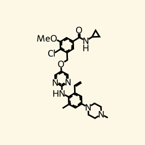 C=Cc1cc(N2CCN(C)CC2)cc(C)c1Nc1ncc(OCc2cc(C(=O)NC3CC3)cc(OC)c2Cl)cn1